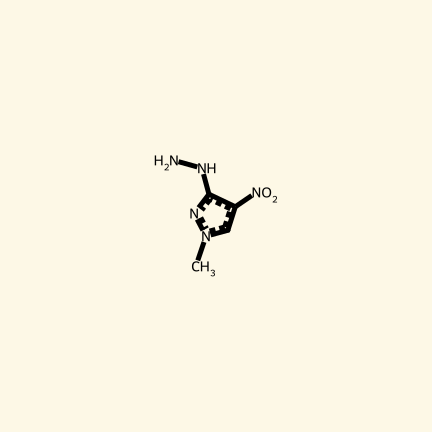 Cn1cc([N+](=O)[O-])c(NN)n1